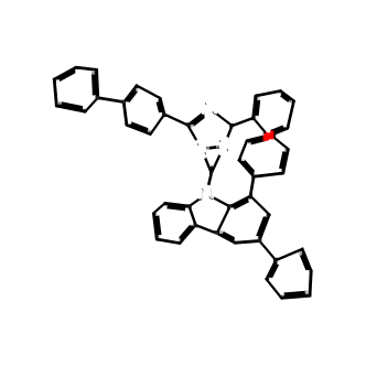 c1ccc(-c2ccc(C3=NC(c4ccccc4)N4C(n5c6ccccc6c6cc(-c7ccccc7)cc(-c7ccccc7)c65)N34)cc2)cc1